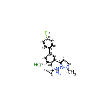 Cl.Cn1ccc(-c2cc(-c3ccc(F)cc3)ccc2C2(N)CC2)n1